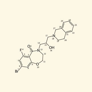 O=C1c2c(F)cc(Br)cc2OCCN1CC(O)CN1CCc2ccccc2C1